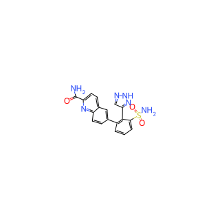 NC(=O)c1ccc2cc(-c3cccc(S(N)(=O)=O)c3-c3cn[nH]n3)ccc2n1